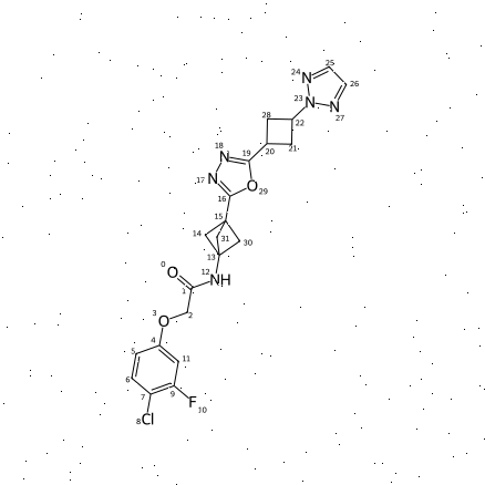 O=C(COc1ccc(Cl)c(F)c1)NC12CC(c3nnc(C4CC(n5nccn5)C4)o3)(C1)C2